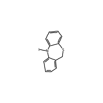 IN1c2ccccc2CSc2ccccc21